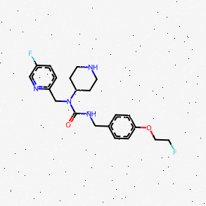 O=C(NCc1ccc(OCCF)cc1)N(Cc1ccc(F)cn1)C1CCNCC1